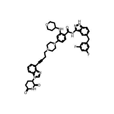 O=C1CCC(n2cnc3c(C#CCCN4CCN(c5ccc(C(=O)Nc6n[nH]c7ccc(Cc8cc(F)cc(F)c8)cc67)c(NC6CCOCC6)c5)CC4)cccc32)C(=O)N1